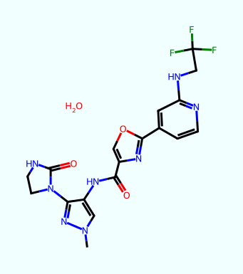 Cn1cc(NC(=O)c2coc(-c3ccnc(NCC(F)(F)F)c3)n2)c(N2CCNC2=O)n1.O